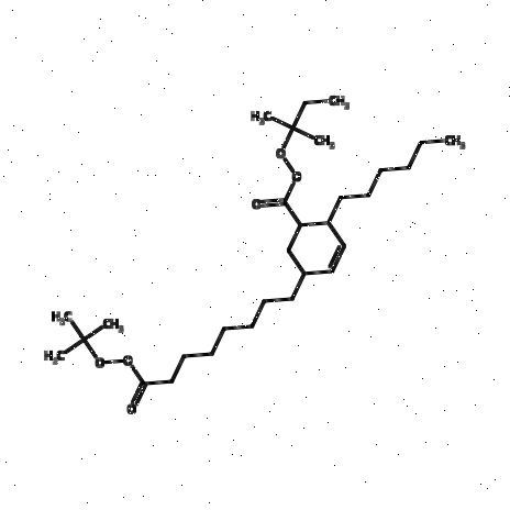 CCCCCCC1C=CC(CCCCCCCC(=O)OOC(C)(C)C)CC1C(=O)OOC(C)(C)CC